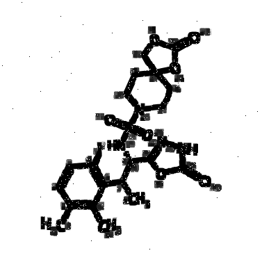 Cc1ccc(F)c(C(C)[C@H](NS(=O)(=O)N2CCC3(CC2)COC(=O)O3)c2n[nH]c(=O)o2)c1C